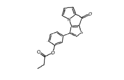 CCC(=O)Oc1[c]ccc(-c2csc3c2-n2cccc2C3=O)c1